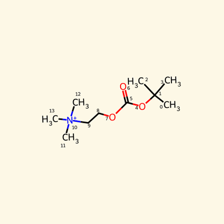 CC(C)(C)OC(=O)OCC[N+](C)(C)C